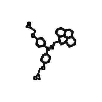 C(=NN(c1ccc(OCC2CO2)cc1)c1ccc(OCC2CO2)cc1)c1cc2cccc3ccc4cccc1c4c32